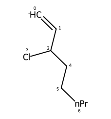 [CH]=CC(Cl)CCCCC